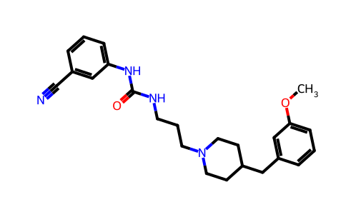 COc1cccc(CC2CCN(CCCNC(=O)Nc3cccc(C#N)c3)CC2)c1